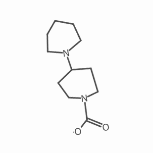 [O]C(=O)N1CCC(N2CCCCC2)CC1